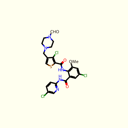 COc1cc(Cl)cc(C(=O)Nc2ccc(Cl)cn2)c1NC(=O)c1scc(CN2CCN(C=O)CC2)c1Cl